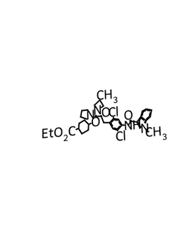 CCOC(=O)C1CCC(OC(C(=O)Cc2cc(Cl)c(NC(=O)c3cn(C)c4ccccc34)cc2Cl)(N2CCCC2)N2CC(C)C2)CC1